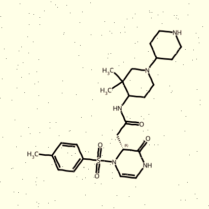 Cc1ccc(S(=O)(=O)N2C=CNC(=O)[C@H]2CC(=O)NC2CCN(C3CCNCC3)CC2(C)C)cc1